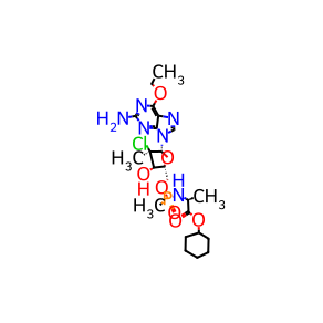 CCOc1nc(N)nc2c1ncn2[C@@H]1O[C@H](COP(C)(=O)N[C@@H](C)C(=O)OC2CCCCC2)[C@@H](O)[C@@]1(C)Cl